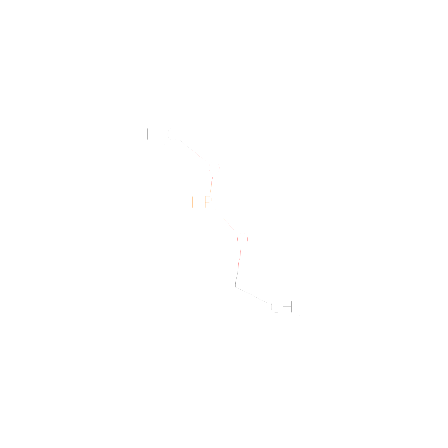 CCOPOC